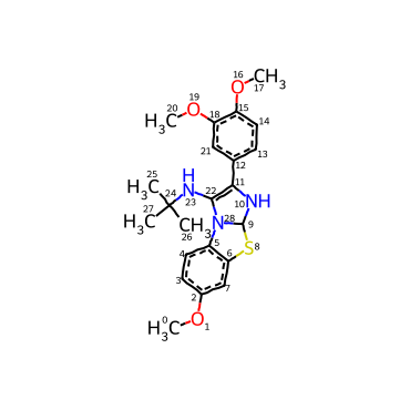 COc1ccc2c(c1)SC1NC(c3ccc(OC)c(OC)c3)=C(NC(C)(C)C)N21